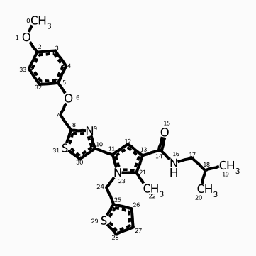 COc1ccc(OCc2nc(-c3cc(C(=O)NCC(C)C)c(C)n3Cc3cccs3)cs2)cc1